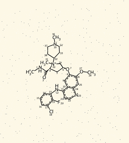 CNC(=O)[C@@H]1C[C@H](Oc2cc3c(Nc4cccc(Cl)c4F)ncnc3cc2OC)C[N+]1(C)C1CCN(C)CC1